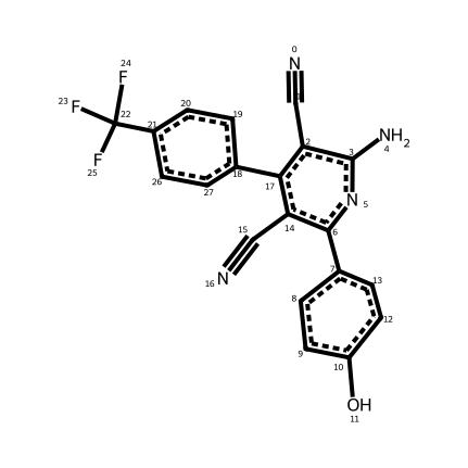 N#Cc1c(N)nc(-c2ccc(O)cc2)c(C#N)c1-c1ccc(C(F)(F)F)cc1